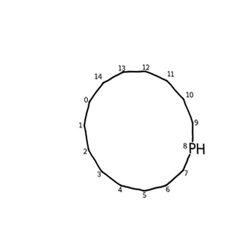 C1CCCCCCCPCCCCCC1